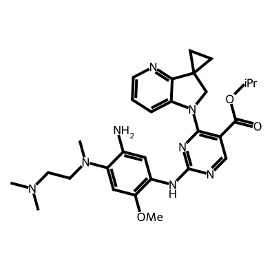 COc1cc(N(C)CCN(C)C)c(N)cc1Nc1ncc(C(=O)OC(C)C)c(N2CC3(CC3)c3ncccc32)n1